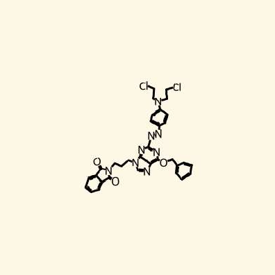 O=C1c2ccccc2C(=O)N1CCCn1cnc2c(OCc3ccccc3)nc(N=Nc3ccc(N(CCCl)CCCl)cc3)nc21